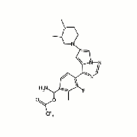 Cc1c(C(N)OC(=O)C(F)(F)F)ccc(-c2ncnn3cc(N4CCN(C)C(C)C4)cc23)c1F